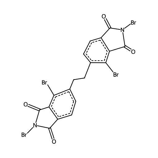 O=C1c2ccc(CCc3ccc4c(c3Br)C(=O)N(Br)C4=O)c(Br)c2C(=O)N1Br